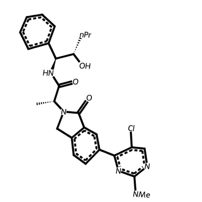 CCC[C@H](O)[C@@H](NC(=O)[C@@H](C)N1Cc2ccc(-c3nc(NC)ncc3Cl)cc2C1=O)c1ccccc1